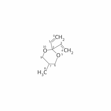 C=CC1(C=C)OCC(C)CO1